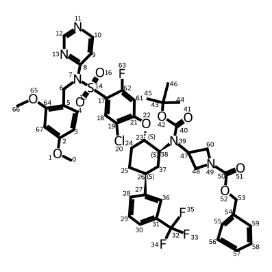 COc1ccc(CN(c2ccncn2)S(=O)(=O)c2cc(Cl)c(O[C@H]3CC[C@H](c4cccc(C(F)(F)F)c4)C[C@@H]3N(C(=O)OC(C)(C)C)C3CN(C(=O)OCc4ccccc4)C3)cc2F)c(OC)c1